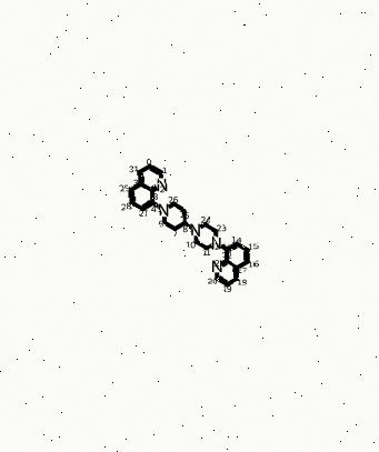 c1cnc2c(N3CCC(N4CCN(c5cccc6cccnc56)CC4)CC3)cccc2c1